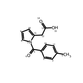 Cc1ccc(C(=O)n2cccc2CC(=O)O)cc1